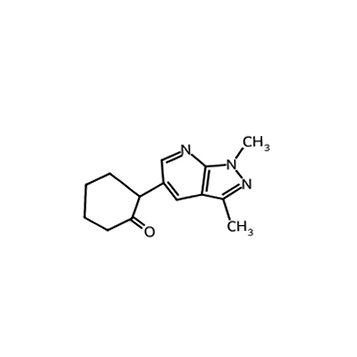 Cc1nn(C)c2ncc(C3CCCCC3=O)cc12